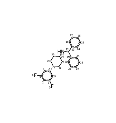 Fc1cc(F)cc([C@H]2CC[C@H](NC(c3ccccc3)c3ccccc3)CC2)c1